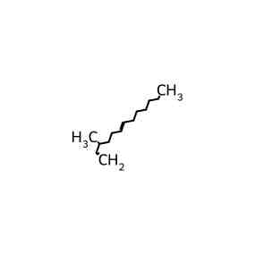 C=CC(C)CCC=CCCCCCC